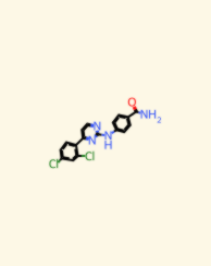 NC(=O)c1ccc(Nc2nccc(-c3ccc(Cl)cc3Cl)n2)cc1